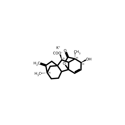 C=C1CC23C[C@@]1(C)CCC2C12C=C[C@H](O)[C@](C)(C(=O)O1)C2[C@@H]3C(=O)[O-].[K+]